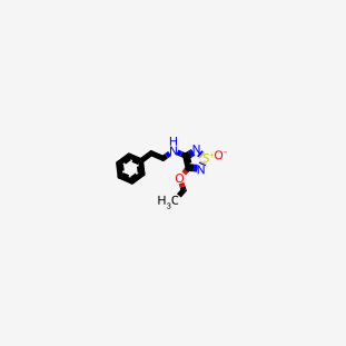 CCOc1n[s+]([O-])nc1NCCc1ccccc1